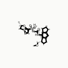 COC[C@H]1CCc2cc3c(c(NC(=O)N=[S@@](N)(=O)c4cnn5c4O[C@@H](C)C5)c21)CCC3